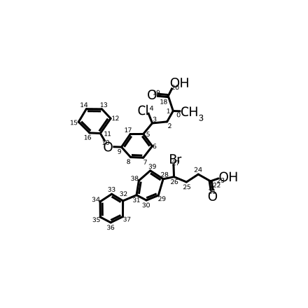 CC(CC(Cl)c1cccc(Oc2ccccc2)c1)C(=O)O.O=C(O)CCC(Br)c1ccc(-c2ccccc2)cc1